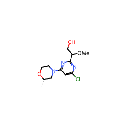 COC(CO)c1nc(Cl)cc(N2CCO[C@@H](C)C2)n1